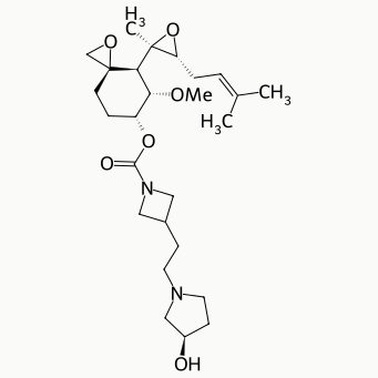 CO[C@@H]1[C@H](OC(=O)N2CC(CCN3CC[C@@H](O)C3)C2)CC[C@]2(CO2)[C@H]1[C@@]1(C)O[C@@H]1CC=C(C)C